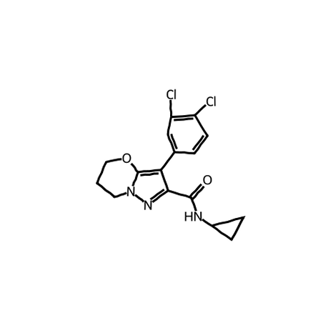 O=C(NC1CC1)c1nn2c(c1-c1ccc(Cl)c(Cl)c1)OCCC2